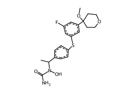 COC1(c2cc(F)cc(Sc3ccc(C(C)N(O)C(N)=O)cc3)c2)CCOCC1